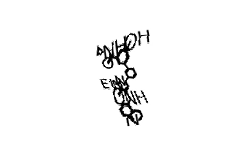 CCn1nc(-c2cccc(-c3cc(O)cc(C(=O)NC4CC4)c3)c2)cc(Nc2cccc3ncccc23)c1=O